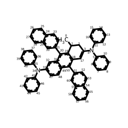 CC1CC(N(c2ccccc2)c2ccccc2)=Cc2c1c(-c1ccc3ccccc3c1)c1cc(N(c3ccccc3)c3ccccc3)ccc1c2-c1ccc2ccccc2c1